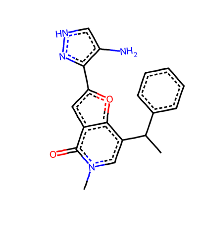 CC(c1ccccc1)c1cn(C)c(=O)c2cc(-c3n[nH]cc3N)oc12